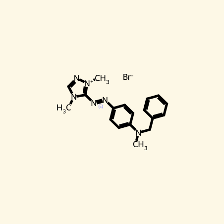 CN(Cc1ccccc1)c1ccc(/N=N/c2n(C)cn[n+]2C)cc1.[Br-]